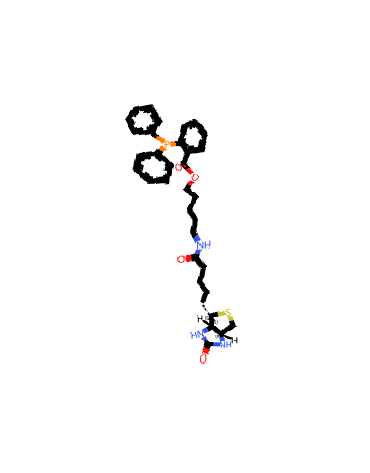 O=C(CCCC[C@@H]1SC[C@@H]2NC(=O)N[C@@H]21)NCCCCCOC(=O)c1ccccc1P(c1ccccc1)c1ccccc1